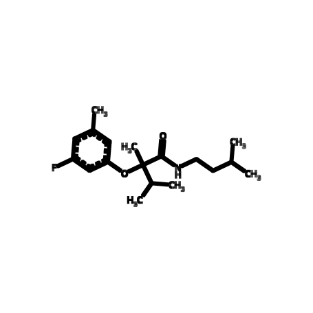 Cc1cc(F)cc(OC(C)(C(=O)NCCC(C)C)C(C)C)c1